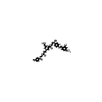 C=Nc1ccc(N(CC)CCOC(=O)CCN(CCC(=O)OCCN(CC)c2ccc(/N=N/c3ccc([N+](=O)[O-])cc3Cl)cc2)CC(O)CO)cc1